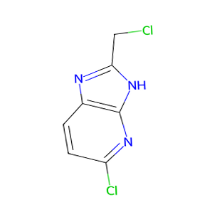 ClCc1nc2ccc(Cl)nc2[nH]1